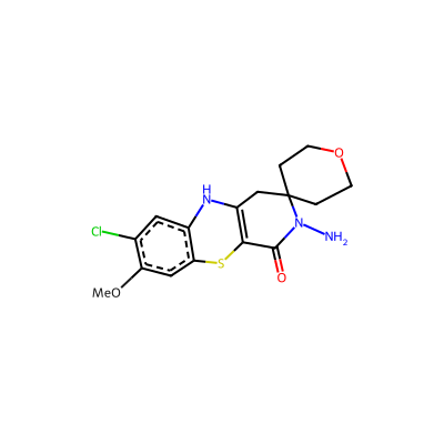 COc1cc2c(cc1Cl)NC1=C(S2)C(=O)N(N)C2(CCOCC2)C1